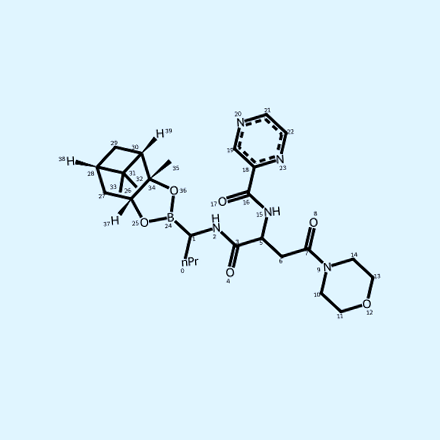 CCCC(NC(=O)C(CC(=O)N1CCOCC1)NC(=O)c1cnccn1)B1O[C@@H]2C[C@@H]3C[C@@H](C3(C)C)[C@]2(C)O1